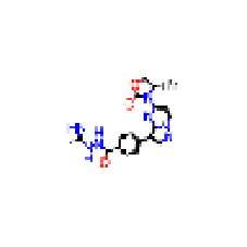 CC(=N)NNC(=O)c1ccc(-c2cnn3ccc(N4C(=O)OCC4C(C)C)nc23)cc1